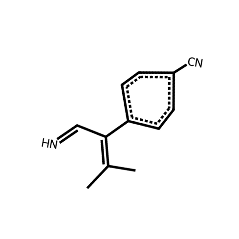 CC(C)=C(C=N)c1ccc(C#N)cc1